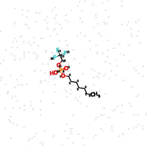 CCCCCCCOP(=O)(O)OCC(F)(F)F